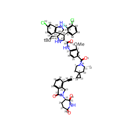 COc1cc(C(=O)N2CCC3(C[C@H]2C)C[C@@H]3C#Cc2cccc3c2CN([C@@H]2CCC(=O)NC2=O)C3=O)ccc1NC(=O)[C@@H]1N[C@@H](CC(C)(C)C)[C@@]2(CNc3cc(Cl)ccc32)[C@H]1c1cccc(Cl)c1F